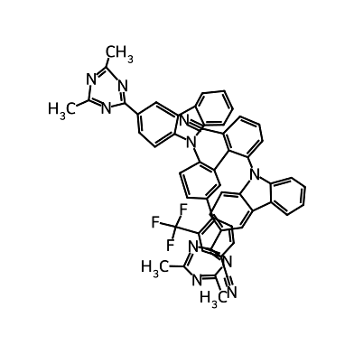 Cc1nc(C)nc(-c2ccc3c(c2)c2ccccc2n3-c2ccc(-c3ccc(C#N)cc3C(F)(F)F)cc2-c2c(C#N)cccc2-n2c3ccccc3c3cc(-c4nc(C)nc(C)n4)ccc32)n1